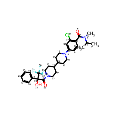 CC(C)N(C)C(=O)c1ccc(N2CCC(C3CCN(C(=O)[C@](O)(c4ccccc4)C(F)(F)F)CC3)CC2)cc1Cl